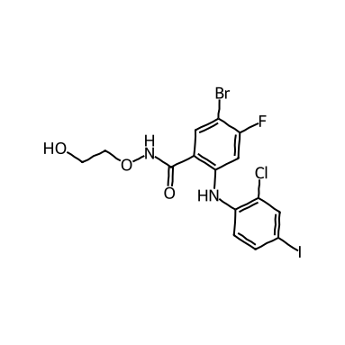 O=C(NOCCO)c1cc(Br)c(F)cc1Nc1ccc(I)cc1Cl